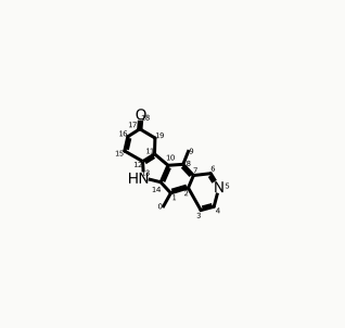 Cc1c2ccncc2c(C)c2c3c([nH]c12)C=CC(=O)C3